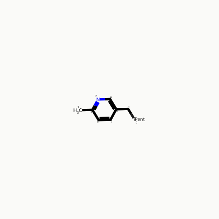 CCCC(C)Cc1ccc(C)nc1